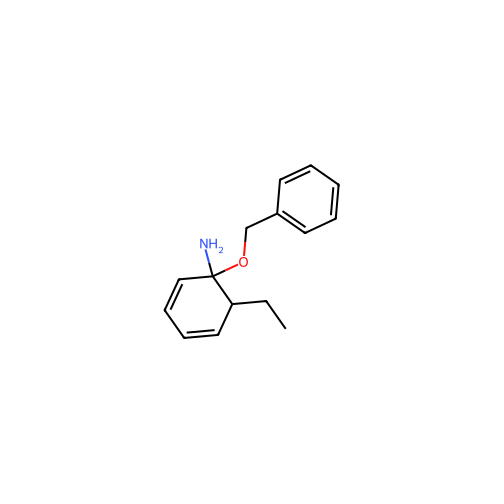 CCC1C=CC=CC1(N)OCc1ccccc1